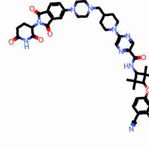 CC1(C)C(NC(=O)c2cnc(N3CCC(CN4CCN(c5ccc6c(c5)C(=O)N(C5CCC(=O)NC5=O)C6=O)CC4)CC3)cn2)C(C)(C)C1Oc1ccc(C#N)c(Cl)c1